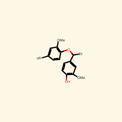 CCCc1ccc(OC(CC)c2ccc(O)c(OC)c2)c(OC)c1